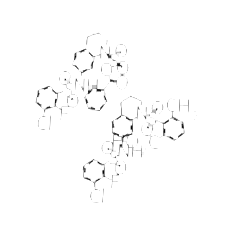 Cc1cccc(C(=O)O)c1S(=O)(=O)N1CCCc2ccc(NS(=O)(=O)c3cccc(Cl)c3F)cc21.O=C(OS(=O)(=O)N1CCCc2ccc(NS(=O)(=O)c3cccc(Cl)c3F)cc21)c1ccccc1